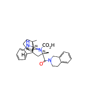 CC1(C)[C@@H]2CCC1(C)[C@@H](N(C(=O)O)[C@@](C)(Cc1c[nH]c3ccccc13)C(=O)N1CCc3ccccc3C1)C2